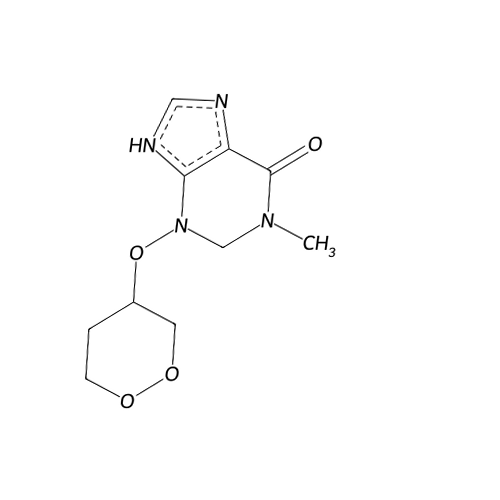 CN1CN(OC2CCOOC2)c2[nH]cnc2C1=O